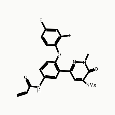 C=CC(=O)Nc1ccc(Oc2ccc(F)cc2F)c(-c2cc(NC)c(=O)n(C)n2)c1